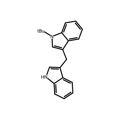 CC(C)(C)n1cc(Cc2c[nH]c3ccccc23)c2ccccc21